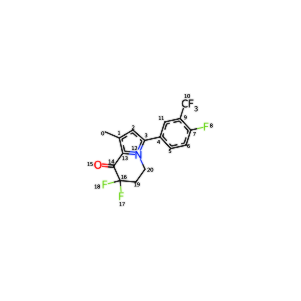 Cc1cc(-c2ccc(F)c(C(F)(F)F)c2)n2c1C(=O)C(F)(F)CC2